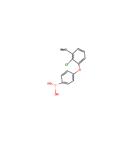 COc1cccc(Oc2ccc(B(O)O)cc2)c1Cl